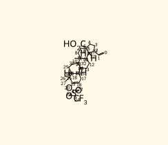 C=C[C@@H]1CC[C@]2(C(=O)O)CC[C@]3(C)[C@H](CC[C@@H]4[C@@]5(C)CC=C(OS(=O)(=O)C(F)(F)F)C(C)(C)[C@@H]5CC[C@]43C)[C@@H]12